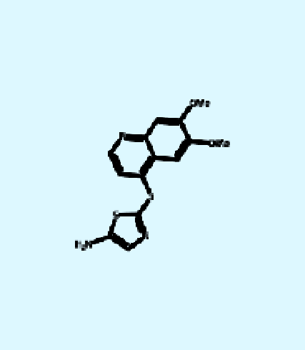 COc1cc2nccc(Sc3ncc(N)s3)c2cc1OC